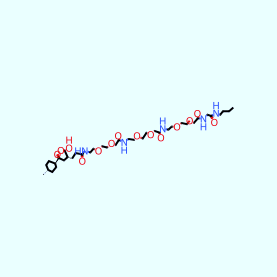 CCCCNC(=O)CNC(=O)COCCOCCNC(=O)COCCOCCNC(=O)COCCOCCNC(=O)CC[C@H](CC(=O)[C@H]1CC[C@H](C)CC1)C(=O)O